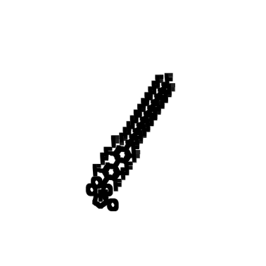 O=C(ON1C(=O)CCC1=O)c1c(F)c(F)c(-c2c(F)c(F)c(C(F)(F)C(F)(F)C(F)(F)C(F)(F)C(F)(F)C(F)(F)C(F)(F)C(F)(F)C(F)(F)C(F)(F)C(F)(F)F)c(F)c2F)c(F)c1F